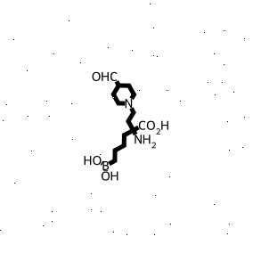 NC(CCCCB(O)O)(CCN1CCC(C=O)CC1)C(=O)O